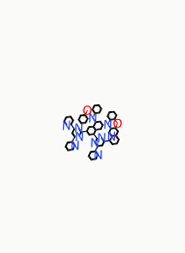 c1ccc(-c2cc(-c3ccccn3)nc(-c3cc(-c4nc(-c5ccccn5)cc(-c5ccccn5)n4)c4cc(N5c6ccccc6Oc6ccccc65)cc(N5c6ccccc6Oc6ccccc65)c4c3)n2)nc1